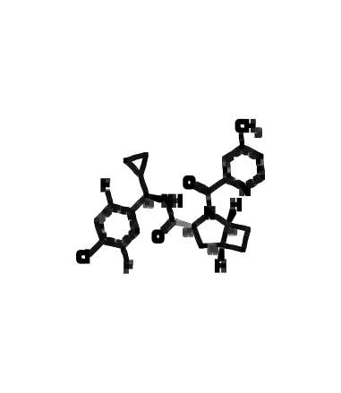 Cc1ccnc(C(=O)N2[C@@H](C(=O)N[C@@H](c3cc(F)c(Cl)cc3F)C3CC3)C[C@H]3CC[C@H]32)c1